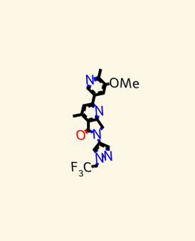 COc1cc(-c2cc(C)c3c(n2)CN(c2cnn(CC(F)(F)F)c2)C3=O)cnc1C